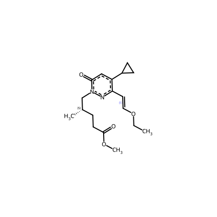 CCO/C=C/c1nn(C[C@@H](C)CCC(=O)OC)c(=O)cc1C1CC1